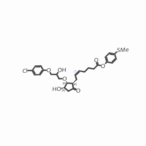 CSc1ccc(OC(=O)CCC/C=C\C[C@H]2C(=O)C[C@@H](O)[C@@H]2OCC(O)COc2ccc(Cl)cc2)cc1